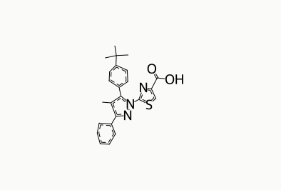 Cc1c(-c2ccccc2)nn(-c2nc(C(=O)O)cs2)c1-c1ccc(C(C)(C)C)cc1